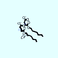 CCCCCCOC(=O)/C=C\C(=O)[O-].CCCCCCOC(=O)/C=C\C(=O)[O-].[Ca+2]